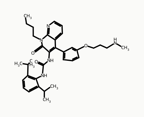 CCCCn1c(=O)c(NC(=O)Nc2c(C(C)C)cccc2C(C)C)c(-c2cccc(OCCCNC)c2)c2cccnc21